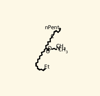 CC/C=C\C/C=C\C/C=C\CCCCCCCCC(CCCCCCCC/C=C\C/C=C\CCCCC)C(=O)OCCCN(C)C